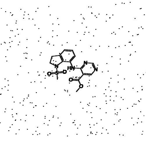 COC(=O)c1cncnc1Nc1cccc2c1N(S(C)(=O)=O)CC2